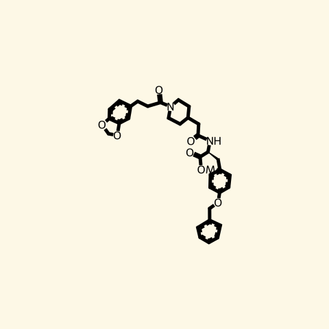 COC(=O)[C@H](Cc1ccc(OCc2ccccc2)cc1)NC(=O)CC1CCN(C(=O)CCc2ccc3c(c2)OCO3)CC1